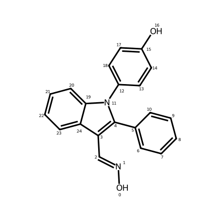 ON=Cc1c(-c2ccccc2)n(-c2ccc(O)cc2)c2ccccc12